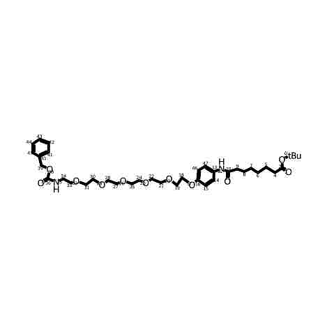 CC(C)(C)OC(=O)CCCCCCC(=O)Nc1ccc(OCCOCCOCCOCCOCCOCCNC(=O)OCc2ccccc2)cc1